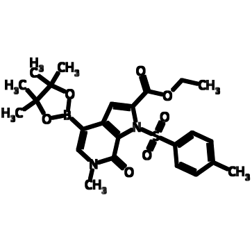 CCOC(=O)c1cc2c(B3OC(C)(C)C(C)(C)O3)cn(C)c(=O)c2n1S(=O)(=O)c1ccc(C)cc1